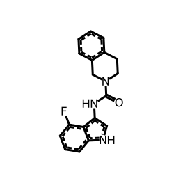 O=C(Nc1c[nH]c2cccc(F)c12)N1CCc2ccccc2C1